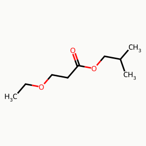 CCOCCC(=O)OCC(C)C